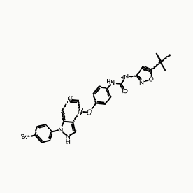 CC(C)(C)c1cc(NC(=O)Nc2ccc(ON3C=NC=C4C3=CNN4c3ccc(Br)cc3)cc2)no1